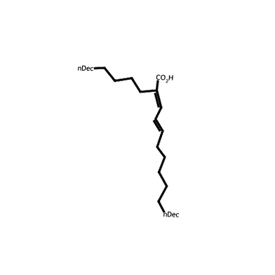 CCCCCCCCCCCCCCCC=CC=C(CCCCCCCCCCCCCC)C(=O)O